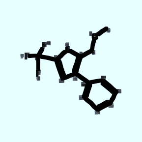 COCc1sc(C(F)(F)F)cc1-c1ccccc1